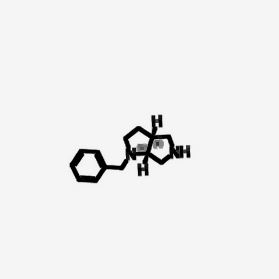 c1ccc(CN2CC[C@@H]3CNC[C@@H]32)cc1